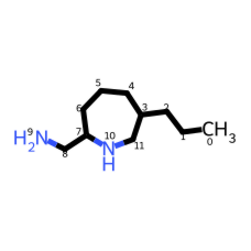 CCCC1CCCC(CN)NC1